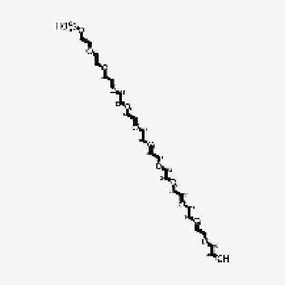 O=S(=O)(O)OCCOCCOCCOCCOCCOCCOCCOCCOCCOCCOCCOCCO